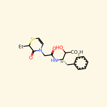 CCC1SC=CN(CC(=O)N[C@@H](Cc2ccccc2)C(O)C(=O)O)C1=O